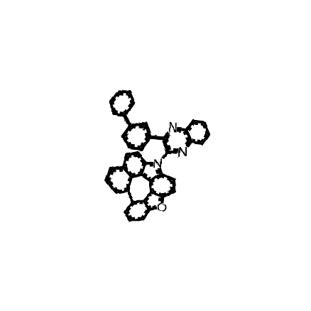 c1ccc(-c2cccc(-c3nc4ccccc4nc3-n3c4ccc5cccc6c5c4c4c5c(ccc43)oc3cccc-6c35)c2)cc1